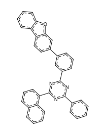 c1ccc(-c2nc(-c3cccc(-c4ccc5c(c4)oc4ccccc45)c3)nc(-c3cccc4ccccc34)n2)cc1